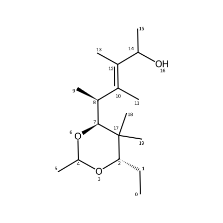 CC[C@@H]1OC(C)O[C@@H]([C@@H](C)/C(C)=C(\C)C(C)O)C1(C)C